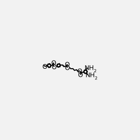 COc1ccc(C(=O)Oc2ccc(C=CC(=O)OCCCCCCOC(=O)c3cc(N)cc(N)c3)cc2)cc1